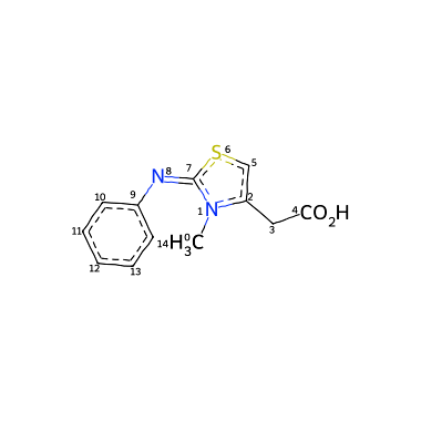 Cn1c(CC(=O)O)csc1=Nc1ccccc1